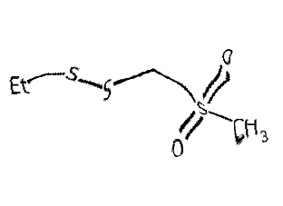 CCSSCS(C)(=O)=O